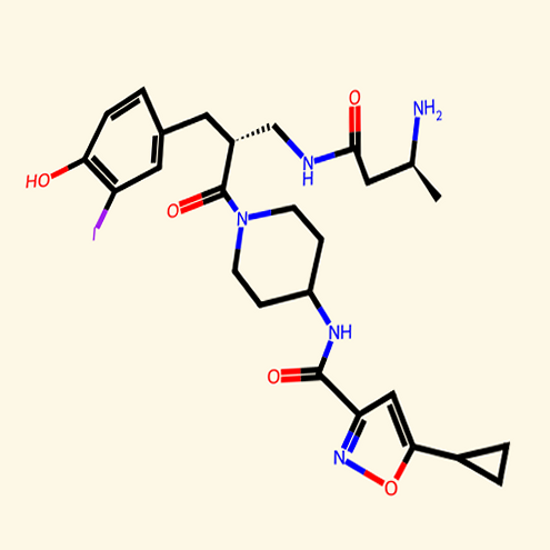 C[C@H](N)CC(=O)NC[C@@H](Cc1ccc(O)c(I)c1)C(=O)N1CCC(NC(=O)c2cc(C3CC3)on2)CC1